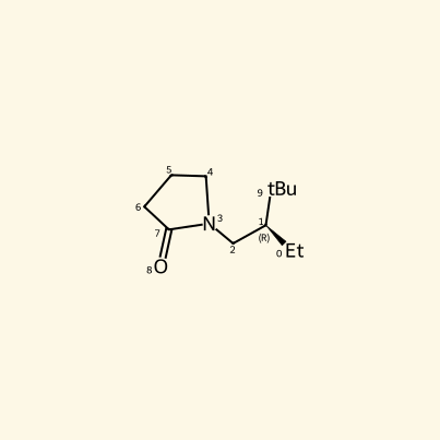 CC[C@@H](CN1CCCC1=O)C(C)(C)C